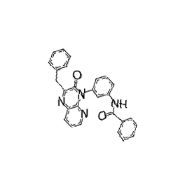 O=C(Nc1cccc(-n2c(=O)c(Cc3ccccc3)nc3cccnc32)c1)c1ccccc1